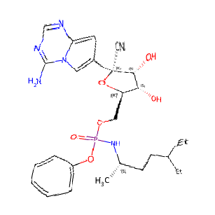 CCC(CC)CC[C@H](C)NP(=O)(OC[C@H]1O[C@@](C#N)(c2cc3ncnc(N)n3c2)[C@H](O)[C@@H]1O)Oc1ccccc1